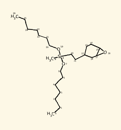 CCCCCCCO[Si](C)(CCC1CCC2OC2C1)OCCCCCCC